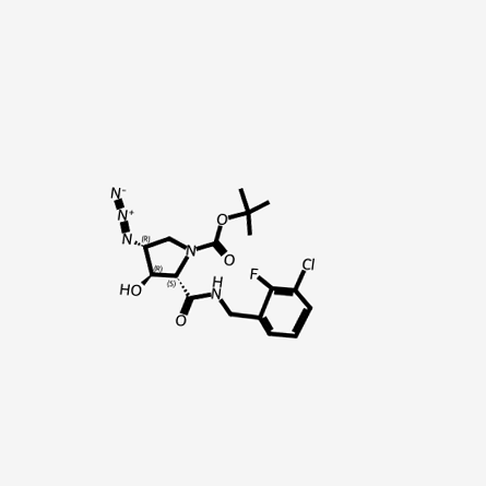 CC(C)(C)OC(=O)N1C[C@@H](N=[N+]=[N-])[C@H](O)[C@H]1C(=O)NCc1cccc(Cl)c1F